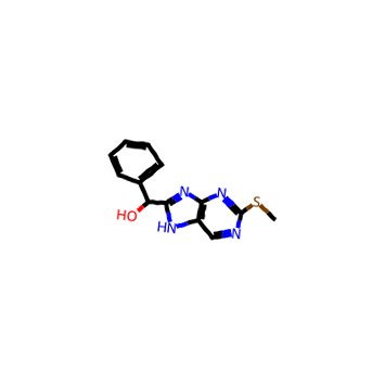 CSc1ncc2[nH]c(C(O)c3ccccc3)nc2n1